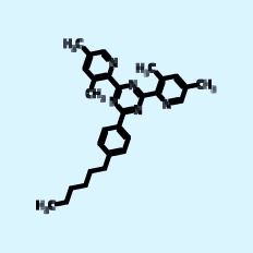 CCCCCCc1ccc(-c2nc(-c3ncc(C)cc3C)nc(-c3ncc(C)cc3C)n2)cc1